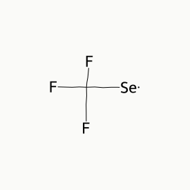 FC(F)(F)[Se]